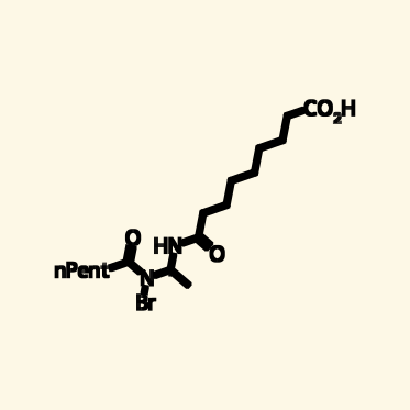 CCCCCC(=O)N(Br)[C](C)NC(=O)CCCCCCCC(=O)O